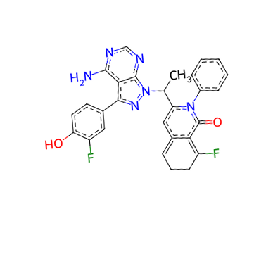 CC(c1cc2c(c(=O)n1-c1ccccc1)=C(F)CCC=2)n1nc(-c2ccc(O)c(F)c2)c2c(N)ncnc21